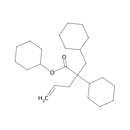 C=CCC(CC1CCCCC1)(C(=O)OC1CCCCC1)C1CCCCC1